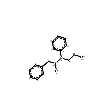 [O-][S+](Cc1ccccc1)N(CCO)c1ccccc1